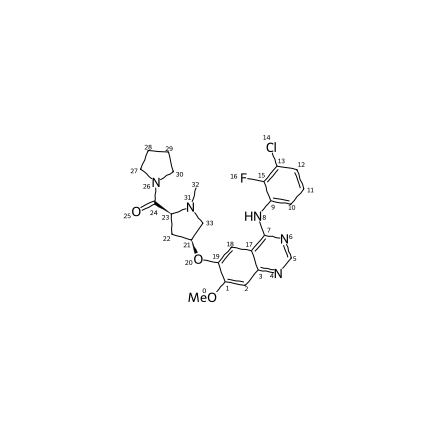 COc1cc2ncnc(Nc3cccc(Cl)c3F)c2cc1O[C@H]1C[C@@H](C(=O)N2CCCC2)N(C)C1